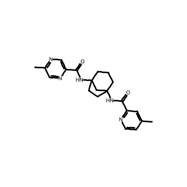 Cc1ccnc(C(=O)NC23CCCC(NC(=O)c4cnc(C)cn4)(CC2)C3)c1